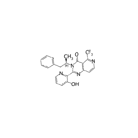 C[C@H](Cc1ccccc1)n1c(-c2ncccc2O)nc2ccnc(C(F)(F)F)c2c1=O